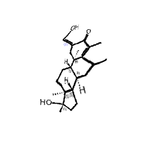 CC1=C2C(C)C[C@@H]3[C@H](CC[C@@]4(C)[C@H]3CC[C@]4(C)O)[C@@]2(C)C/C(=C/O)C1=O